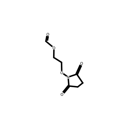 O=COCCON1C(=O)CCC1=O